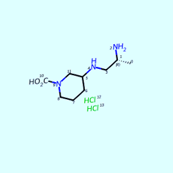 C[C@@H](N)CNC1CCCN(C(=O)O)C1.Cl.Cl